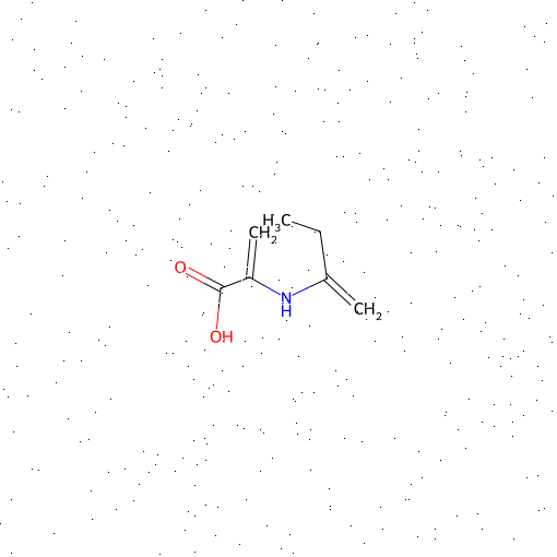 C=C(CC)NC(=C)C(=O)O